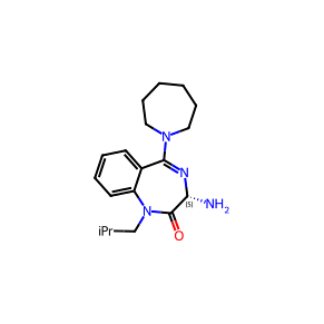 CC(C)CN1C(=O)[C@@H](N)N=C(N2CCCCCC2)c2ccccc21